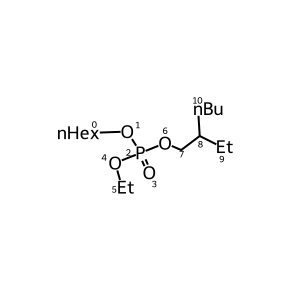 CCCCCCOP(=O)(OCC)OCC(CC)CCCC